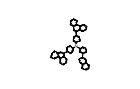 c1cc(-c2ccc3ccccc3c2)cc(N(c2ccc(-c3cc4ccccc4c4ccccc34)cc2)c2ccc(-c3cc4ccccc4c4ccccc34)cc2)c1